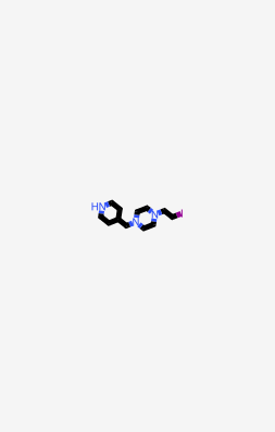 ICCN1CCN(CC2CCNCC2)CC1